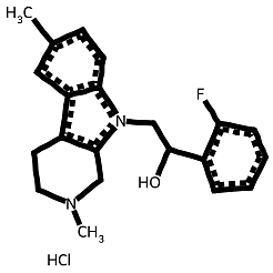 Cc1ccc2c(c1)c1c(n2CC(O)c2ccccc2F)CN(C)CC1.Cl